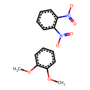 COc1ccccc1OC.O=[N+]([O-])c1ccccc1[N+](=O)[O-]